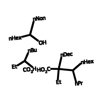 CCCCC(CC)C(=O)O.CCCCCCCCCC(O)CCCCCC.CCCCCCCCCCC(CC)(C(=O)O)C(CCC)CCCCCC